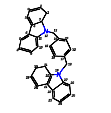 C1=CCC2C(=C1)c1ccccc1N2Cc1ccc(Cn2c3c(c4ccccc42)C=CCC3)cc1